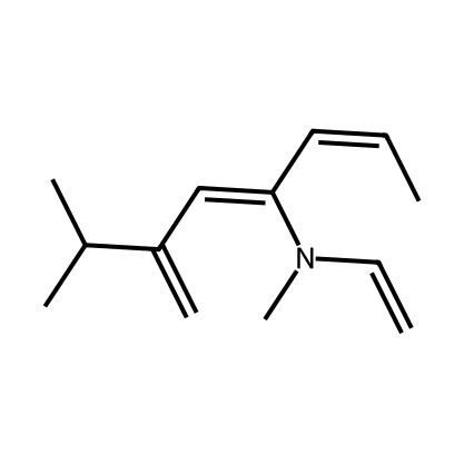 C=CN(C)C(/C=C\C)=C\C(=C)C(C)C